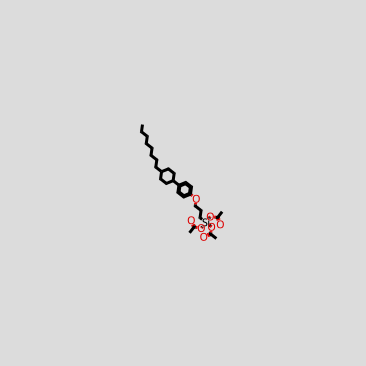 CCCCCCCCC1CCC(c2ccc(OCCC[Si](OC(C)=O)(OC(C)=O)OC(C)=O)cc2)CC1